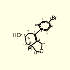 O[C@@H]1CC(c2ccc(Br)cc2)=C2COC[C@H]2C1